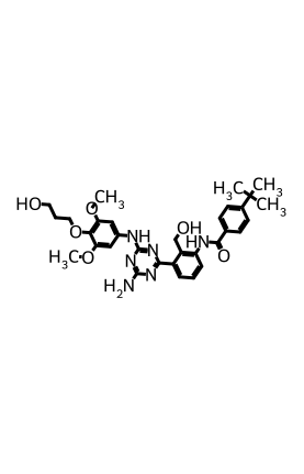 COc1cc(Nc2nc(N)nc(-c3cccc(NC(=O)c4ccc(C(C)(C)C)cc4)c3CO)n2)cc(OC)c1OCCCO